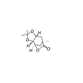 CC1(C)O[C@H]2[C@H]3C[C@@](C)(C[C@H]2O1)C(=O)O3